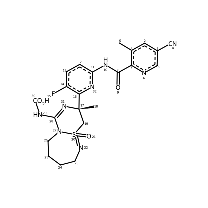 Cc1cc(C#N)cnc1C(=O)Nc1ccc(F)c([C@]2(C)CS3(=O)=NCCCCN3C(NC(=O)O)=N2)n1